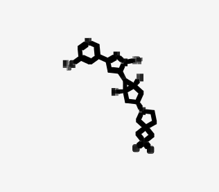 CC(C)n1nc(-c2cncc(C(F)(F)F)c2)cc1[C@H]1[C@@H]2C[C@@H](N3CCC4(C3)CS(=O)(=O)C4)C[C@@H]21